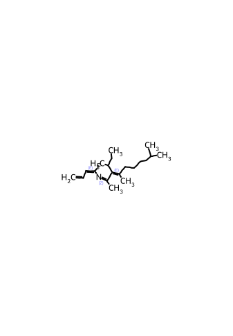 C=C\C=C(F)/N=C(C)\C(=C(/C)CCCCC(C)C)C(C)CC